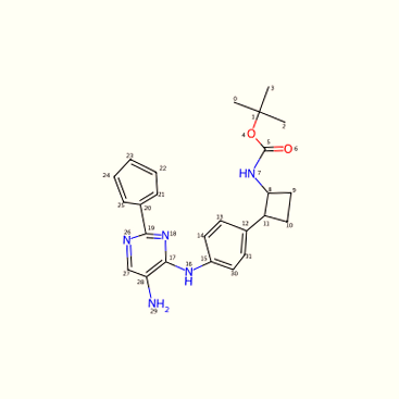 CC(C)(C)OC(=O)NC1CCC1c1ccc(Nc2nc(-c3ccccc3)ncc2N)cc1